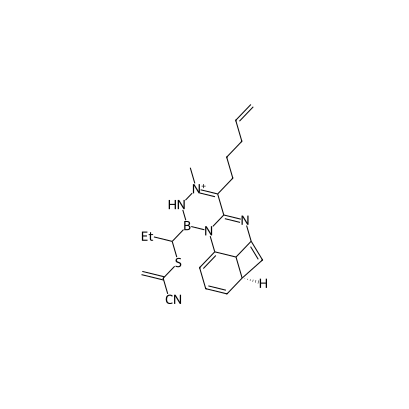 C=CCCCC1=[N+](C)NB(C(CC)SC(=C)C#N)N2C3=CC=C[C@@H]4C=C(N=C12)C34